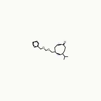 CC(C)C1/C=C\C(COCOCc2ccccc2)C/C=C\C(=O)CC1